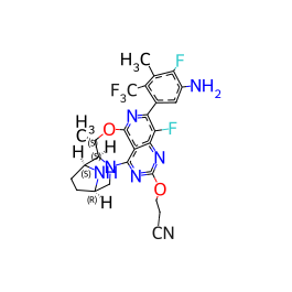 Cc1c(F)c(N)cc(-c2nc3c4c(nc(OCCC#N)nc4c2F)N2C[C@H]4CC[C@H](N4)[C@H]2[C@H](C)O3)c1C(F)(F)F